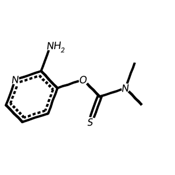 CN(C)C(=S)Oc1cccnc1N